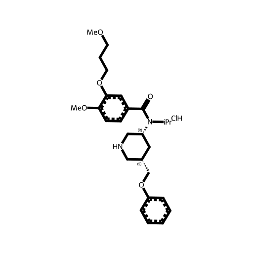 COCCCOc1cc(C(=O)N(C(C)C)[C@H]2CNC[C@@H](COc3ccccc3)C2)ccc1OC.Cl